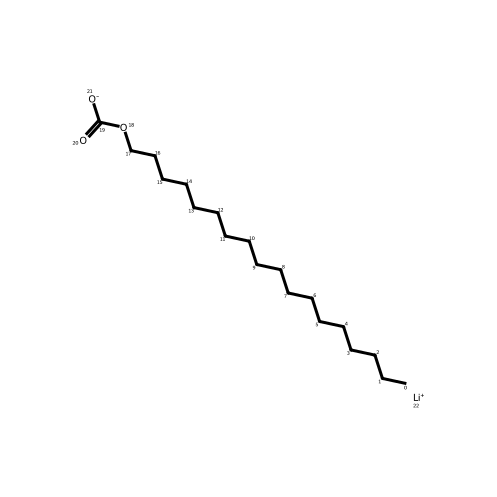 CCCCCCCCCCCCCCCCCCOC(=O)[O-].[Li+]